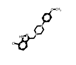 COc1ccc(N2CCN(Cc3n[nH]c4c(Cl)cccc34)CC2)cc1